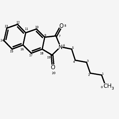 CCCCCCN1C(=O)c2cc3ccccc3cc2C1=O